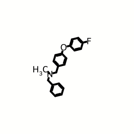 CN(Cc1ccccc1)Cc1ccc(Oc2ccc(F)cc2)cc1